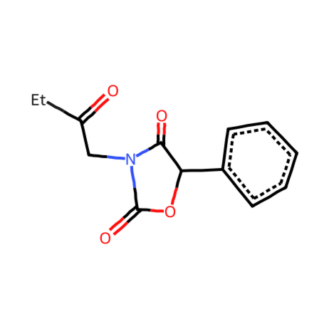 CCC(=O)CN1C(=O)OC(c2ccccc2)C1=O